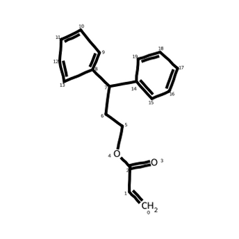 C=CC(=O)OCCC(c1ccccc1)c1ccccc1